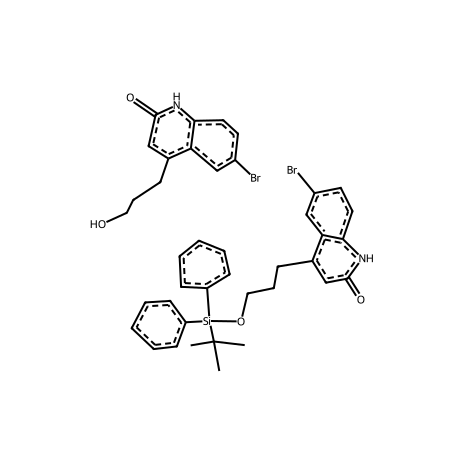 CC(C)(C)[Si](OCCCc1cc(=O)[nH]c2ccc(Br)cc12)(c1ccccc1)c1ccccc1.O=c1cc(CCCO)c2cc(Br)ccc2[nH]1